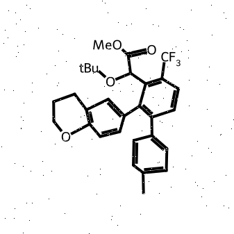 COC(=O)C(OC(C)(C)C)c1c(C(F)(F)F)ccc(-c2ccc(C)cc2)c1-c1ccc2c(c1)CCCO2